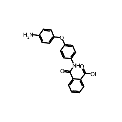 Nc1ccc(Oc2ccc(NC(=O)c3ccccc3C(=O)O)cc2)cc1